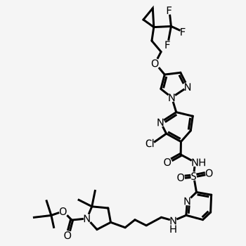 CC(C)(C)OC(=O)N1CC(CCCCNc2cccc(S(=O)(=O)NC(=O)c3ccc(-n4cc(OCCC5(C(F)(F)F)CC5)cn4)nc3Cl)n2)CC1(C)C